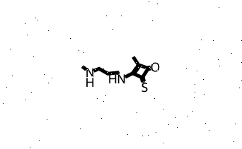 CNCCCNc1c(C)c(=O)c1=S